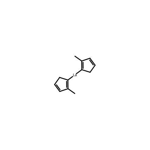 CC1=[C]([La][C]2=C(C)C=CC2)CC=C1